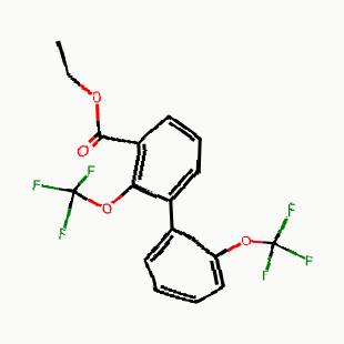 CCOC(=O)c1cccc(-c2ccccc2OC(F)(F)F)c1OC(F)(F)F